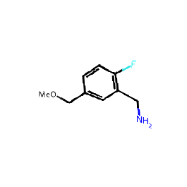 COCc1ccc(F)c(CN)c1